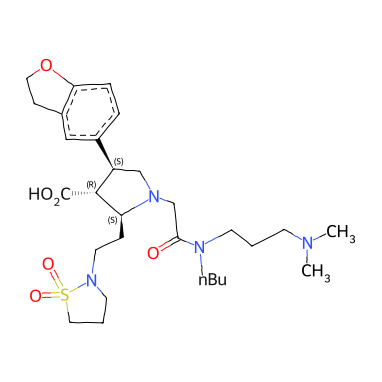 CCCCN(CCCN(C)C)C(=O)CN1C[C@H](c2ccc3c(c2)CCO3)[C@@H](C(=O)O)[C@@H]1CCN1CCCS1(=O)=O